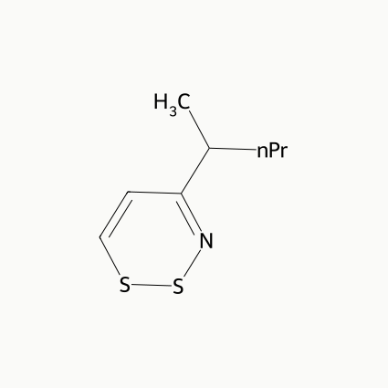 CCCC(C)C1=NSSC=C1